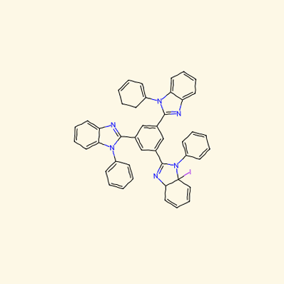 IC12C=CC=CC1N=C(c1cc(-c3nc4ccccc4n3C3=CC=CCC3)cc(-c3nc4ccccc4n3-c3ccccc3)c1)N2c1ccccc1